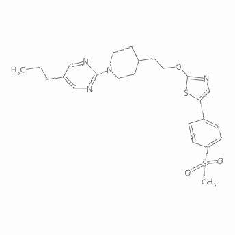 CCCc1cnc(N2CCC(CCOc3ncc(-c4ccc(S(C)(=O)=O)cc4)s3)CC2)nc1